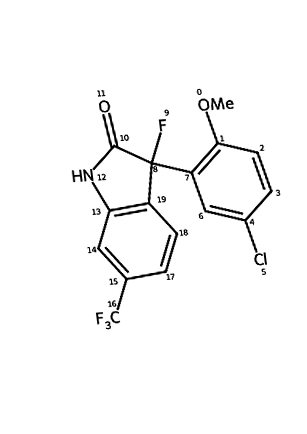 COc1ccc(Cl)cc1C1(F)C(=O)Nc2cc(C(F)(F)F)ccc21